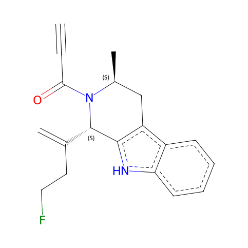 C#CC(=O)N1[C@@H](C)Cc2c([nH]c3ccccc23)[C@@H]1C(=C)CCF